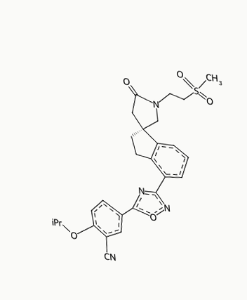 CC(C)Oc1ccc(-c2nc(-c3cccc4c3CC[C@@]43CC(=O)N(CCS(C)(=O)=O)C3)no2)cc1C#N